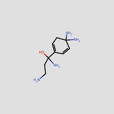 NCCC(N)(O)C1=CCC(N)(N)C=C1